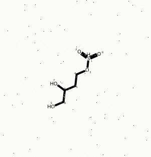 O=[SH](=O)OCCC(O)CO